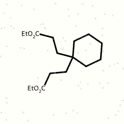 CCOC(=O)CCC1(CCC(=O)OCC)CCCCC1